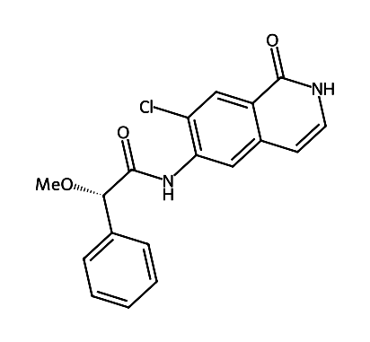 CO[C@H](C(=O)Nc1cc2cc[nH]c(=O)c2cc1Cl)c1ccccc1